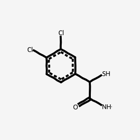 [NH]C(=O)C(S)c1ccc(Cl)c(Cl)c1